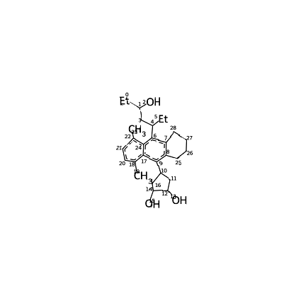 CCC(O)CC(CC)c1c2c(c(C3CC(O)C(O)C3)c3c(C)ccc(C)c13)CCCC2